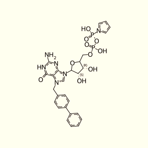 Nc1nc2c(c(=O)[nH]1)[n+](Cc1ccc(-c3ccccc3)cc1)cn2C1OC(COP(=O)(O)OP(=O)(O)n2cccc2)[C@H](O)[C@@H]1O